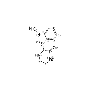 Cn1cc(C2NCCNC2=O)c2ccccc21